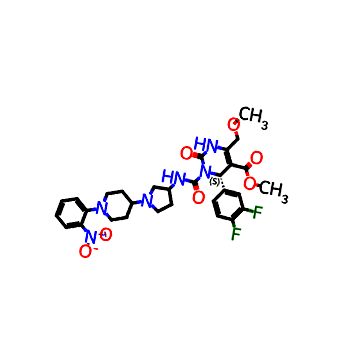 COCC1=C(C(=O)OC)[C@H](c2ccc(F)c(F)c2)N(C(=O)NC2CCN(C3CCN(c4ccccc4[N+](=O)[O-])CC3)C2)C(=O)N1